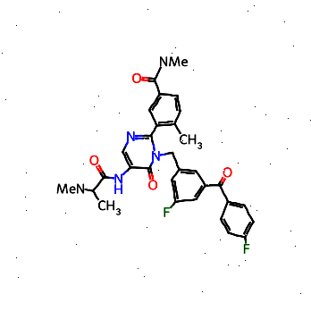 CNC(=O)c1ccc(C)c(-c2ncc(NC(=O)C(C)NC)c(=O)n2Cc2cc(F)cc(C(=O)c3ccc(F)cc3)c2)c1